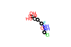 O=C(O)C[C@]1(CO)CCc2cc(-c3ccc(NC(=O)Nc4cccc(Cl)c4)c(F)c3)ccc2C1=O